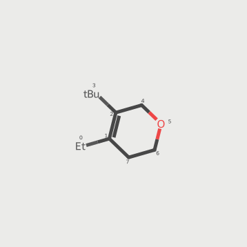 CCC1=C(C(C)(C)C)COCC1